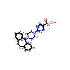 O=C(NO)c1cnc(N2CCN(C3c4ccccc4CCc4ccccc43)CC2)nc1